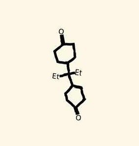 CCC(CC)(C1CCC(=O)CC1)C1CCC(=O)CC1